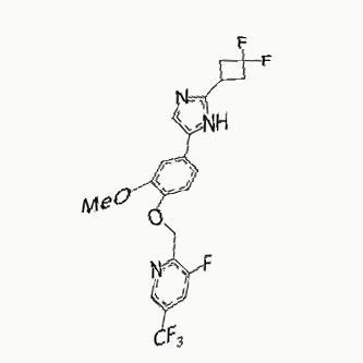 COc1cc(-c2cnc(C3CC(F)(F)C3)[nH]2)ccc1OCc1ncc(C(F)(F)F)cc1F